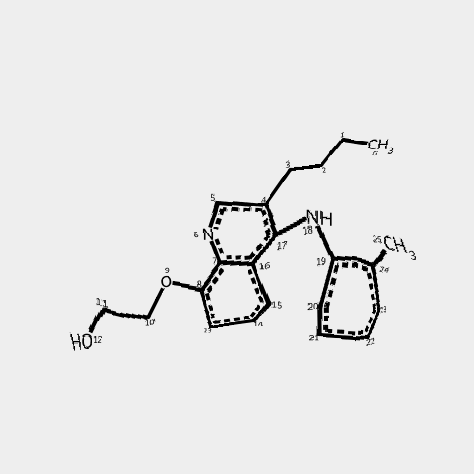 CCCCc1cnc2c(OCCO)cccc2c1Nc1ccccc1C